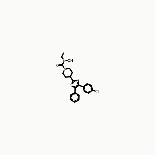 CCN(O)C(=O)N1CCC(c2nc(-c3ccc(Cl)cc3)c(-c3ccccc3)s2)CC1